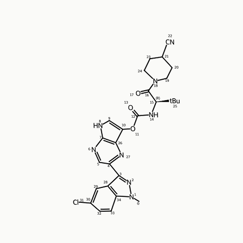 Cn1nc(-c2cnc3[nH]cc(OC(=O)N[C@@H](C(=O)N4CCC(C#N)CC4)C(C)(C)C)c3n2)c2cc(Cl)ccc21